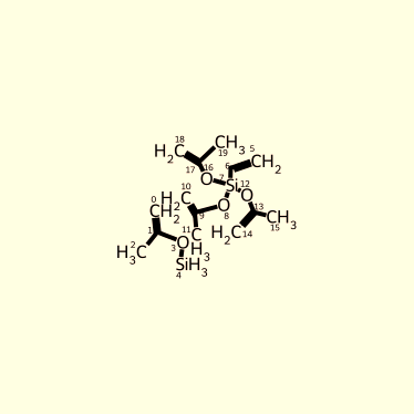 C=C(C)O[SiH3].C=C[Si](OC(=C)C)(OC(=C)C)OC(=C)C